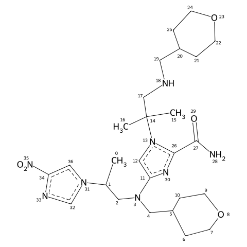 CC(CN(CC1CCOCC1)c1cn(C(C)(C)CNCC2CCOCC2)c(C(N)=O)n1)n1cnc([N+](=O)[O-])c1